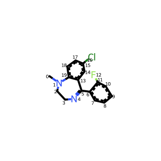 CN1CCN=C(c2ccccc2F)c2cc(Cl)ccc21